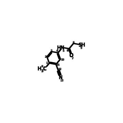 Cc1ccc(NC(=O)CS)cc1C#N